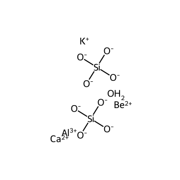 O.[Al+3].[Be+2].[Ca+2].[K+].[O-][Si]([O-])([O-])[O-].[O-][Si]([O-])([O-])[O-]